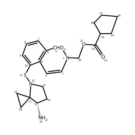 CN(/C=C\c1c(C=O)cccc1SN1CC[C@H](N)C12CC2)COC(=O)C1CCCC1